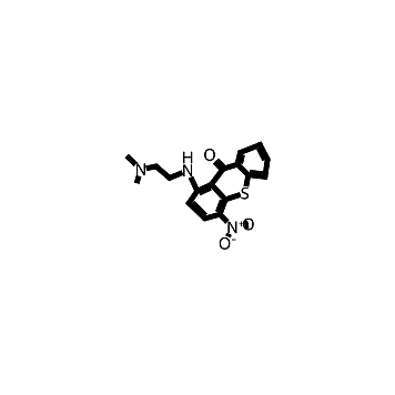 CN(C)CCNc1ccc([N+](=O)[O-])c2sc3ccccc3c(=O)c12